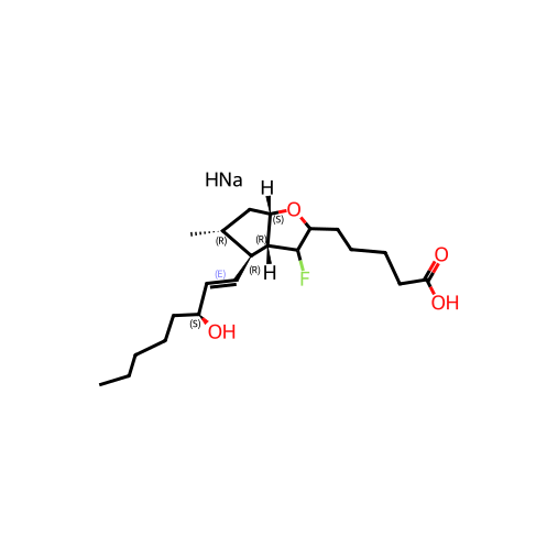 CCCCC[C@H](O)/C=C/[C@@H]1[C@H]2C(F)C(CCCCC(=O)O)O[C@H]2C[C@H]1C.[NaH]